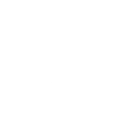 O=C(On1c(=O)[nH]c2ccccc21)C(F)(F)F